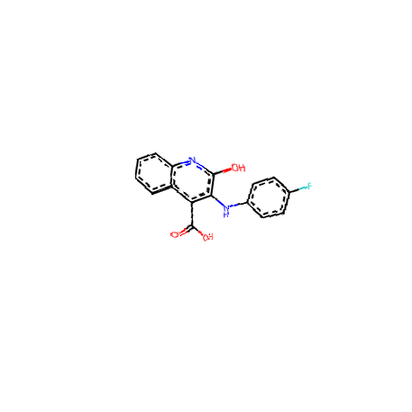 O=C(O)c1c(Nc2ccc(F)cc2)c(O)nc2ccccc12